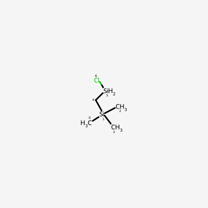 C[Si](C)(C)C[SiH2]Cl